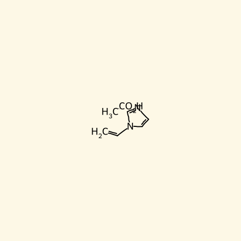 C=Cn1ccnc1.CC(=O)O